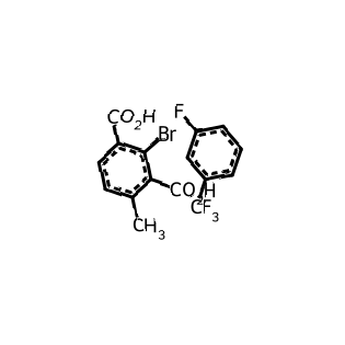 Cc1ccc(C(=O)O)c(Br)c1C(=O)O.Fc1cccc(C(F)(F)F)c1